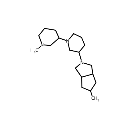 CC1CC2CN(C3CCCN(C4CCCN(C)C4)C3)CC2C1